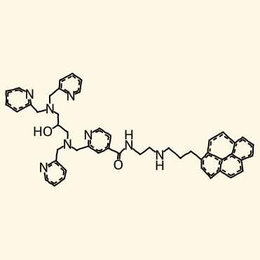 O=C(NCCNCCCc1ccc2ccc3cccc4ccc1c2c34)c1ccnc(CN(Cc2ccccn2)CC(O)CN(Cc2ccccn2)Cc2ccccn2)c1